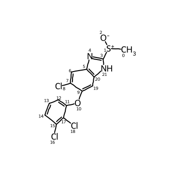 C[S+]([O-])c1nc2cc(Cl)c(Oc3cccc(Cl)c3Cl)cc2[nH]1